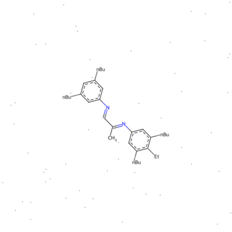 CCCCc1cc(CCCC)cc(N=CC(C)=Nc2cc(CCCC)c(CC)c(CCCC)c2)c1